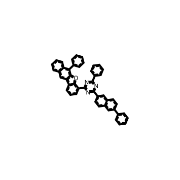 c1ccc(-c2ccc3cc(-c4nc(-c5ccccc5)nc(-c5cccc6c5oc5c(-c7ccccc7)c7ccccc7cc56)n4)ccc3c2)cc1